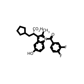 Cc1c([C@H](CC2CCCC2)C(=O)O)c2cc(O)ccc2n1C(=O)c1ccc(F)c(F)c1